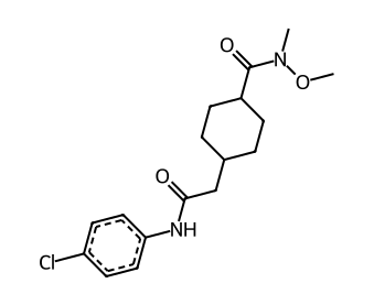 CON(C)C(=O)C1CCC(CC(=O)Nc2ccc(Cl)cc2)CC1